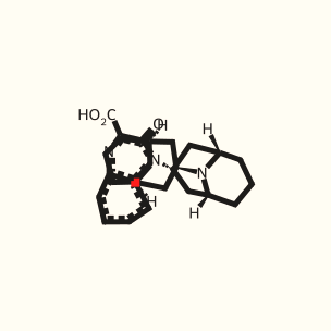 O=C(O)c1nc2ccccc2n([C@H]2C[C@H]3CCC[C@@H](C2)N3[C@@H]2C[C@@H]3CCC[C@@H](C3)C2)c1=O